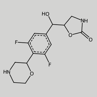 O=C1NCC(C(O)c2cc(F)c(C3CNCCO3)c(F)c2)O1